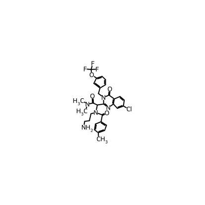 Cc1ccc(C(=O)N(CCCN)C(C(=O)N(C)C)c2nc3cc(Cl)ccc3c(=O)n2Cc2cccc(OC(F)(F)F)c2)cc1